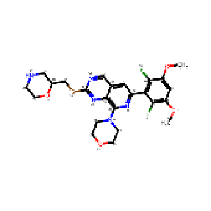 COc1cc(OC)c(F)c(-c2cc3cnc(SCC4CNCCO4)nc3c(N3CCOCC3)n2)c1F